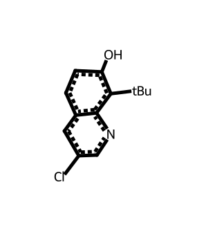 CC(C)(C)c1c(O)ccc2cc(Cl)cnc12